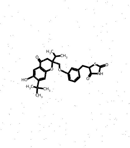 CC(C)C1(COc2cccc(CC3SC(=O)NC3=O)c2)CC(=O)c2cc(O)c(C(C)(C)C)cc2O1